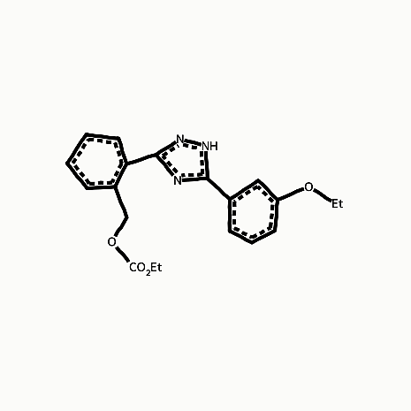 CCOC(=O)OCc1ccccc1-c1n[nH]c(-c2cccc(OCC)c2)n1